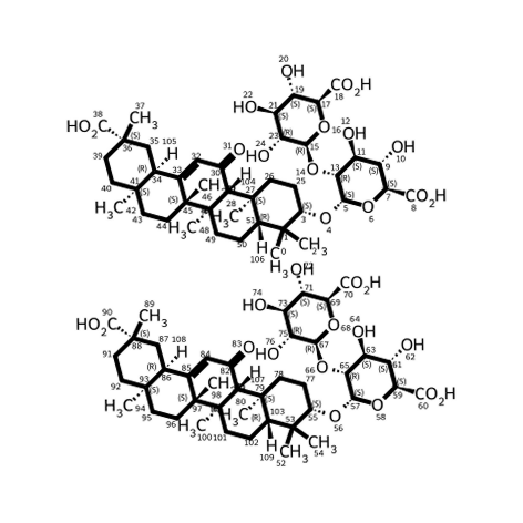 CC1(C)[C@@H](O[C@H]2O[C@H](C(=O)O)[C@@H](O)[C@H](O)[C@H]2O[C@@H]2O[C@H](C(=O)O)[C@@H](O)[C@H](O)[C@H]2O)CC[C@]2(C)[C@H]3C(=O)C=C4[C@@H]5C[C@@](C)(C(=O)O)CC[C@]5(C)CC[C@@]4(C)[C@]3(C)CC[C@@H]12.CC1(C)[C@@H](O[C@H]2O[C@H](C(=O)O)[C@@H](O)[C@H](O)[C@H]2O[C@@H]2O[C@H](C(=O)O)[C@@H](O)[C@H](O)[C@H]2O)CC[C@]2(C)[C@H]3C(=O)C=C4[C@@H]5C[C@@](C)(C(=O)O)CC[C@]5(C)CC[C@@]4(C)[C@]3(C)CC[C@@H]12